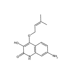 CC(C)=CCOc1c(O)c(=O)[nH]c2cc(N)ccc12